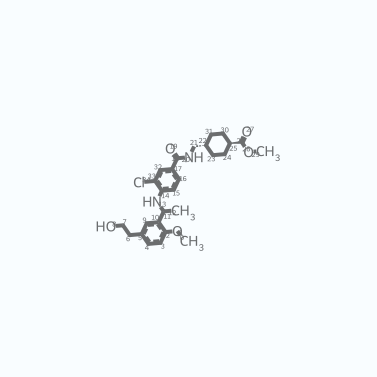 COc1ccc(CCO)cc1C(C)Nc1ccc(C(=O)NC[C@H]2CC[C@H](C(=O)OC)CC2)cc1Cl